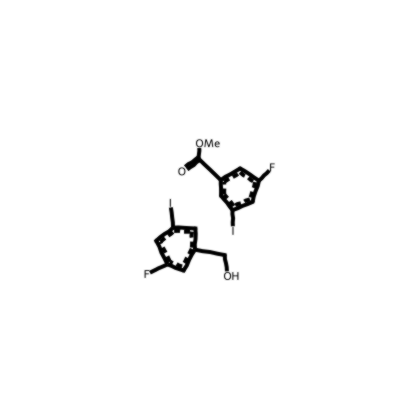 COC(=O)c1cc(F)cc(I)c1.OCc1cc(F)cc(I)c1